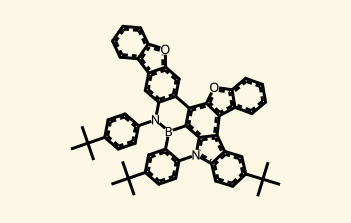 CC(C)(C)c1ccc(N2B3c4cc(C(C)(C)C)ccc4-n4c5ccc(C(C)(C)C)cc5c5c6c(oc7ccccc76)c(c3c54)-c3cc4oc5ccccc5c4cc32)cc1